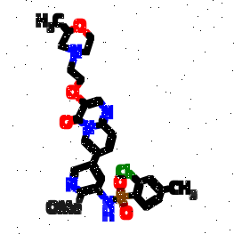 COc1ncc(-c2ccc3ncc(OCCN4CCOC(C)C4)c(=O)n3c2)cc1NS(=O)(=O)c1ccc(C)cc1Cl